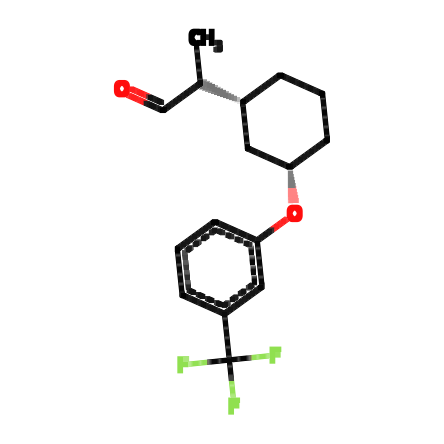 CC(C=O)[C@@H]1CCC[C@H](Oc2cccc(C(F)(F)F)c2)C1